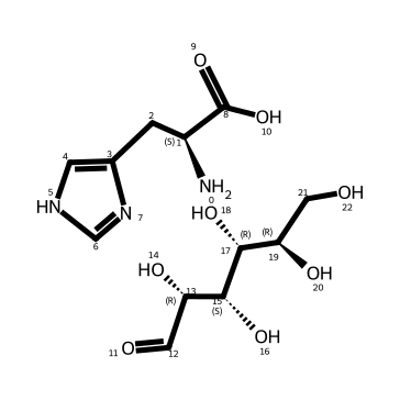 N[C@@H](Cc1c[nH]cn1)C(=O)O.O=C[C@H](O)[C@@H](O)[C@H](O)[C@H](O)CO